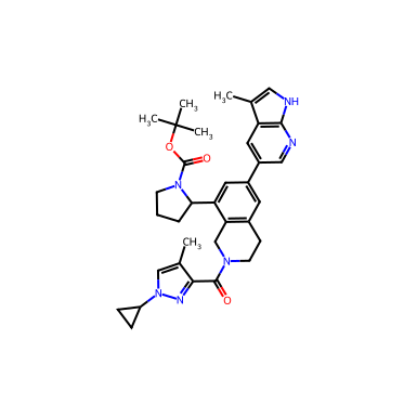 Cc1cn(C2CC2)nc1C(=O)N1CCc2cc(-c3cnc4[nH]cc(C)c4c3)cc(C3CCCN3C(=O)OC(C)(C)C)c2C1